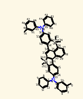 Cc1cccc(N(c2ccccc2)c2ccc3c(c2)[Si](C)(C)c2cc4c5c(cccc5c2-3)[Si](C)(C)c2cc(N(c3ccccc3)c3cccc(C)c3)ccc2-4)c1